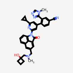 CN(Cc1cc2c3c(cccc3c1)N(c1cc(-c3ccc(C#N)cc3-c3nncn3C)cc(C3CC3)n1)C2=O)CC1(O)CCC1